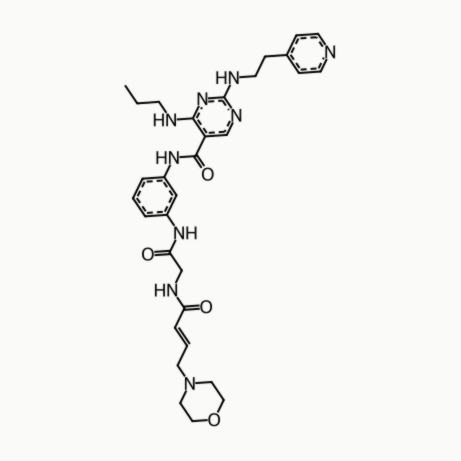 CCCNc1nc(NCCc2ccncc2)ncc1C(=O)Nc1cccc(NC(=O)CNC(=O)/C=C/CN2CCOCC2)c1